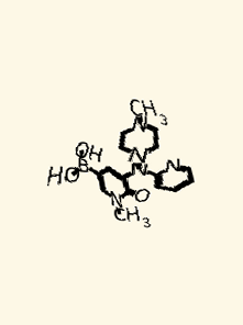 CN1CCN(N(c2ccccn2)c2cc(B(O)O)cn(C)c2=O)CC1